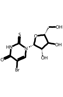 O=c1[nH]c(=S)n([C@@H]2O[C@H](CO)C(O)[C@@H]2O)cc1Br